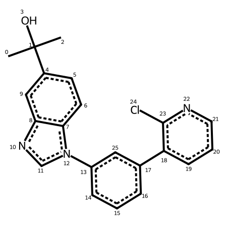 CC(C)(O)c1ccc2c(c1)ncn2-c1cccc(-c2cccnc2Cl)c1